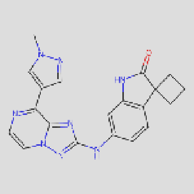 Cn1cc(-c2nccn3nc(Nc4ccc5c(c4)NC(=O)C54CCC4)nc23)cn1